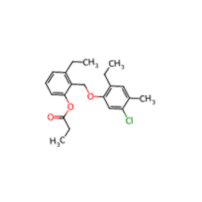 CCC(=O)Oc1cccc(CC)c1COc1cc(Cl)c(C)cc1CC